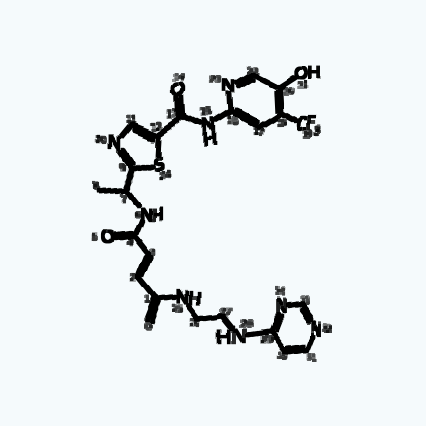 C=C(/C=C/C(=O)NC(C)c1ncc(C(=O)Nc2cc(C(F)(F)F)c(O)cn2)s1)NCCNc1ccncn1